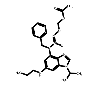 CCCNc1cc(N(Cc2ccccc2)/[N+]([O-])=N/OCOC(C)=O)c2ncn(C(C)C)c2c1